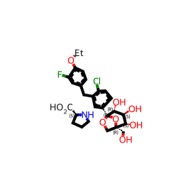 CCOc1ccc(Cc2cc([C@@]34OC[C@@](CO)(O3)[C@@H](O)[C@H](O)[C@H]4O)ccc2Cl)cc1F.O=C(O)[C@@H]1CCCN1